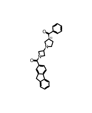 O=C(c1ccccc1)[C@H]1CCN(C2CN(C(=O)c3ccc4c(c3)Cc3ccccc3-4)C2)C1